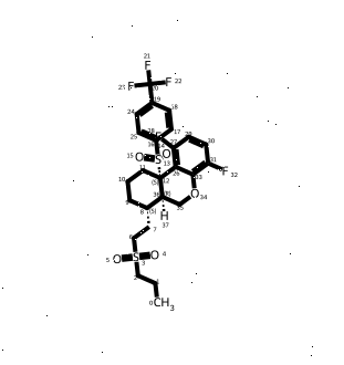 CCCS(=O)(=O)CC[C@@H]1CCC[C@@]2(S(=O)(=O)c3ccc(C(F)(F)F)cc3)c3c(F)ccc(F)c3OC[C@@H]12